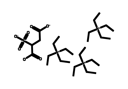 CC[N+](CC)(CC)CC.CC[N+](CC)(CC)CC.CC[N+](CC)(CC)CC.O=C([O-])CC(C(=O)[O-])S(=O)(=O)[O-]